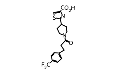 O=C(O)c1csc(C2CCN(C(=O)CCc3ccc(C(F)(F)F)cc3)CC2)n1